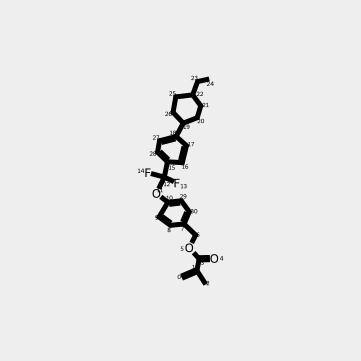 C=C(C)C(=O)OCc1ccc(OC(F)(F)c2ccc(C3CCC(CC)CC3)cc2)cc1